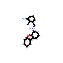 Cc1c(F)cccc1CNc1cccc2c1oc1ccccc12